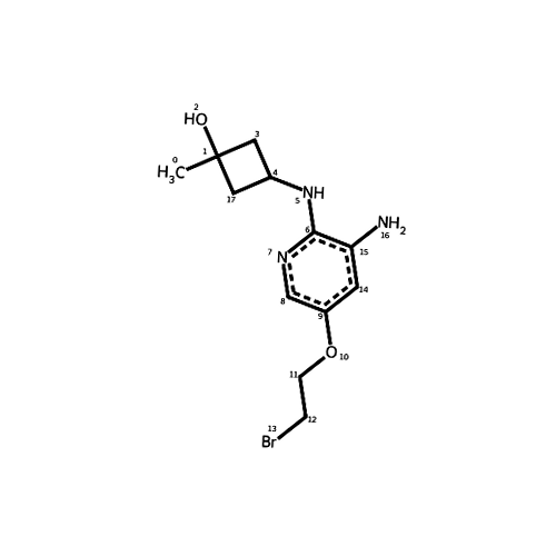 CC1(O)CC(Nc2ncc(OCCBr)cc2N)C1